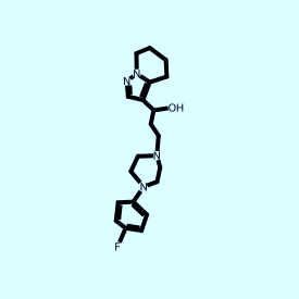 OC(CCN1CCN(c2ccc(F)cc2)CC1)c1cnn2c1CCCC2